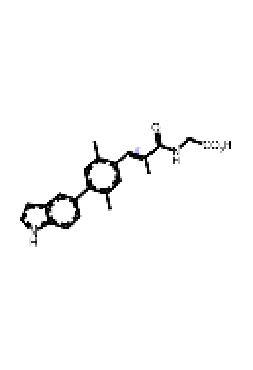 C/C(=C\c1cc(C)c(-c2ccc3[nH]ccc3c2)cc1C)C(=O)NCC(=O)O